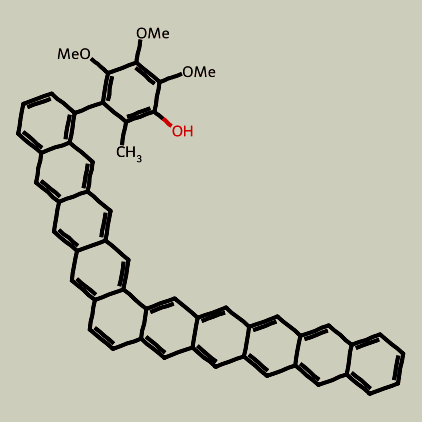 COc1c(O)c(C)c(-c2cccc3cc4cc5cc6ccc7cc8cc9cc%10cc%11ccccc%11cc%10cc9cc8cc7c6cc5cc4cc23)c(OC)c1OC